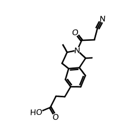 CC1Cc2cc(CCC(=O)O)ccc2C(C)N1C(=O)CC#N